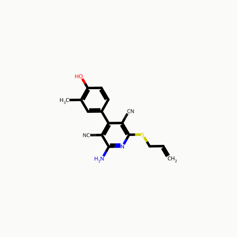 C=CCSc1nc(N)c(C#N)c(-c2ccc(O)c(C)c2)c1C#N